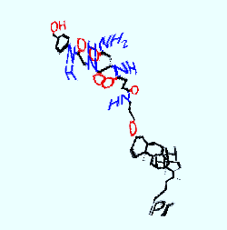 CC(C)CCC[C@@H](C)[C@H]1CC[C@H]2[C@@H]3CC=C4C[C@@H](OCCCNC(=O)CCC(=O)N[C@@H](CC(N)=O)C(=O)NCC(=O)Nc5ccc(CO)cc5)CC[C@]4(C)C3CC[C@]12C